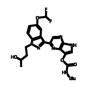 CC(O)CCn1nc(-c2cnc3[nH]cc(OC(=O)NC(C)(C)C)c3n2)c2cc(OC(F)F)ccc21